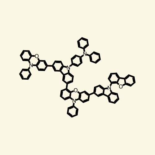 c1ccc(N(c2ccccc2)c2ccc(-n3c4ccc(-c5ccc6c(c5)Oc5ccccc5N6c5ccccc5)cc4c4cc(-c5cccc6c5Oc5cc(-c7ccc8c(c7)c7ccccc7n8-c7cccc8c7oc7ccccc78)ccc5N6c5ccccc5)ccc43)cc2)cc1